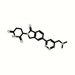 CN(C)Cc1cnnc(-c2ccc3c(c2)CN(C2CCC(=O)NC2=O)C3=O)c1